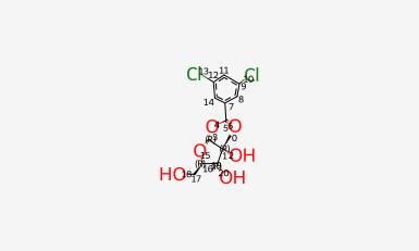 C[C@]1(O)[C@@H](OC(=O)c2cc(Cl)cc(Cl)c2)O[C@H](CO)[C@H]1O